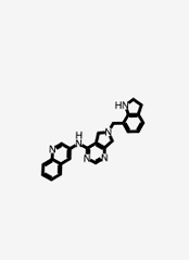 c1cc2c(c(CN3Cc4ncnc(Nc5cnc6ccccc6c5)c4C3)c1)NCC2